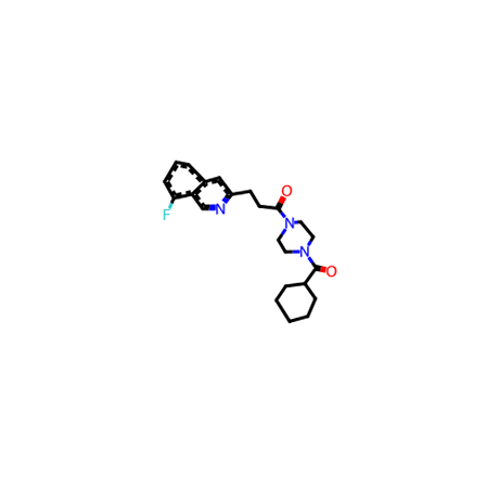 O=C(CCc1cc2cccc(F)c2cn1)N1CCN(C(=O)C2CCCCC2)CC1